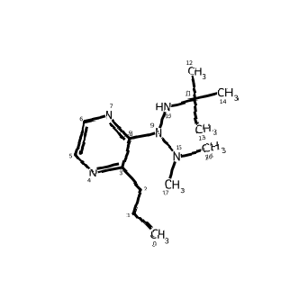 CCCc1nccnc1N(NC(C)(C)C)N(C)C